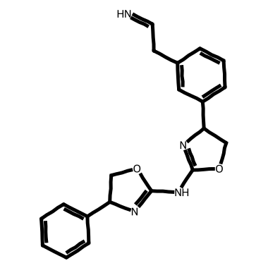 N=CCc1cccc(C2COC(NC3=NC(c4ccccc4)CO3)=N2)c1